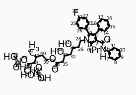 CC(C)c1c(C(=O)Nc2ccccc2)c(-c2ccccc2)c(-c2ccc(F)cc2)n1CCC(O)CC(O)CC(=O)OCCC(C)C(ON(O)O)C(C)ON(O)O